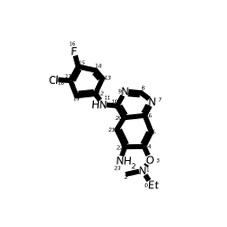 CCN(C)Oc1cc2ncnc(Nc3ccc(F)c(Cl)c3)c2cc1N